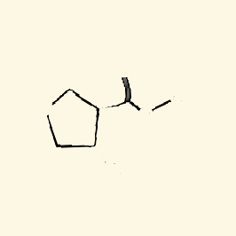 COC(=O)[C@@H]1COC[C@H]1N